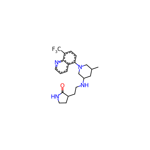 CC1CC(NCCC2CCNC2=O)CN(c2ccc(C(F)(F)F)c3ncccc23)C1